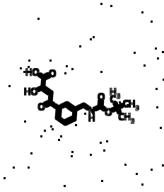 CC(C)(C)OC(=O)NCc1cccc(C(=O)/C=C(\O)C(=O)O)c1